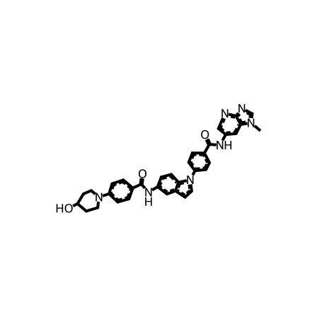 Cn1cnc2ncc(NC(=O)c3ccc(-n4ccc5cc(NC(=O)c6ccc(N7CCC(O)CC7)cc6)ccc54)cc3)cc21